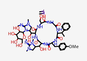 C/N=C1/N(C)CC(C(O)C2NC(=O)C(Cc3ccc(OC)cc3)NC(=O)C(C(C)c3ccccc3)NC(=O)CNC(=O)C(CO)NC(=O)C(C(O)C3CN(C)/C(=N/C)N3C3OC(CO)C(O)C(O)C3O)NC2=O)N1C.CI.CI